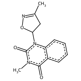 CC1=NOC(n2c(=O)n(C)c(=O)c3ccccc32)C1